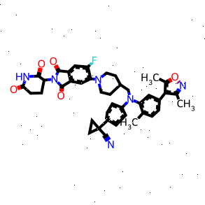 Cc1ccc(-c2c(C)noc2C)cc1N(CC1CCN(c2cc3c(cc2F)C(=O)N(C2CCC(=O)NC2=O)C3=O)CC1)c1ccc(C2(C#N)CC2)cc1